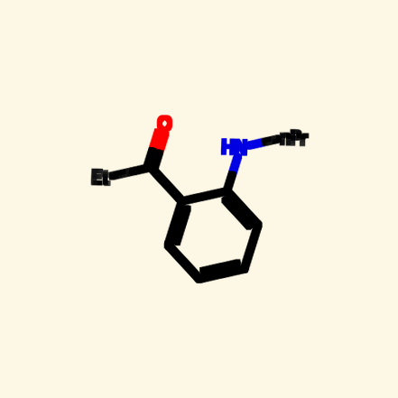 CCCNc1ccccc1C(=O)CC